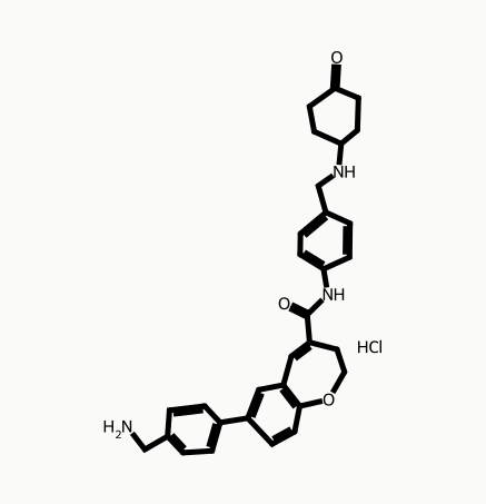 Cl.NCc1ccc(-c2ccc3c(c2)C=C(C(=O)Nc2ccc(CNC4CCC(=O)CC4)cc2)CCO3)cc1